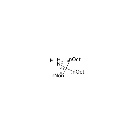 CCCCCCCCCC(N)(CCCCCCCC)CCCCCCCC.I